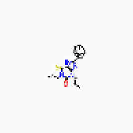 CCCn1c(=S)c2[nH]c(C34CC5CC(CC3C5)C4)nc2n(CCC)c1=O